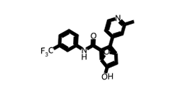 Cc1cc(-c2c(C(=O)Nc3cccc(C(F)(F)F)c3)c3oc2cc3O)ccn1